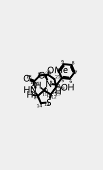 COC(=O)N(Cc1ccccc1)[C@@H]1[C@@H]2SC[C@@H]1NC(=O)CCC[C@@H]2O